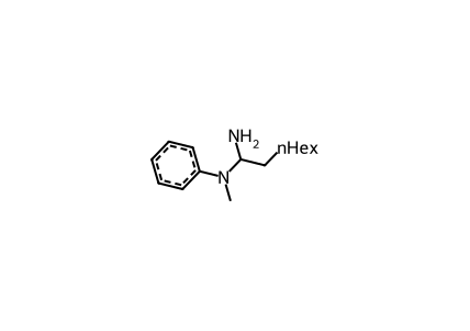 CCCCCCCC(N)N(C)c1ccccc1